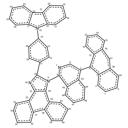 c1ccc2c(-c3cnc(-n4c(-c5ccc(-n6c7ccccc7c7ccccc76)cc5)nc5c6ccccc6c6ccccc6c54)c4ccccc34)c3ccccc3cc2c1